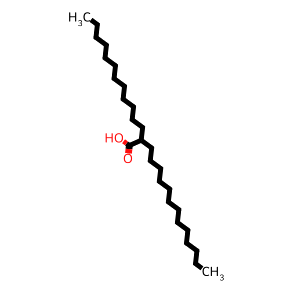 CCCCCCCCCCCCCC(CCCCCCCCCCCC)C(=O)O